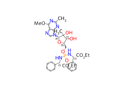 CCOC(=O)[C@@H](NP(=O)(N[C@H](C(=O)OCC)c1ccccc1)OC[C@H]1O[C@@H](n2cnc3c(OC)nc(C)nc32)C(C)(O)[C@H]1O)c1ccccc1